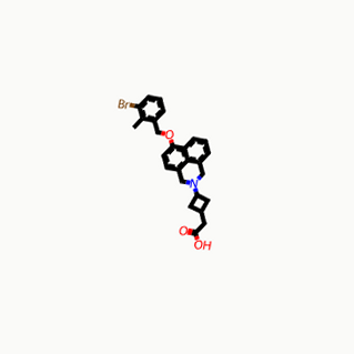 Cc1c(Br)cccc1COc1ccc2c3c(cccc13)CN(C1CC(CC(=O)O)C1)C2